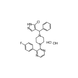 Cl.Cl.Fc1ccc(-c2nccnc2N2CCN(C(c3ccccc3)c3cn[nH]c3Cl)CC2)cc1